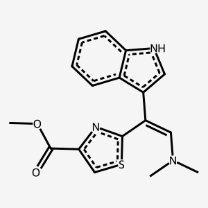 COC(=O)c1csc(C(=CN(C)C)c2c[nH]c3ccccc23)n1